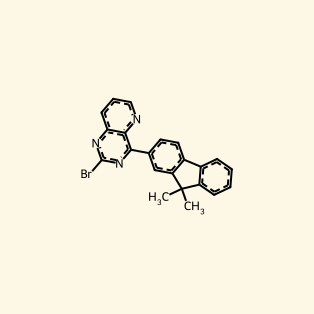 CC1(C)c2ccccc2-c2ccc(-c3nc(Br)nc4cccnc34)cc21